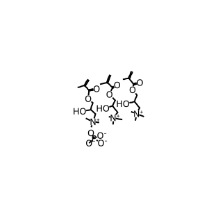 C=C(C)C(=O)OCC(O)C[N+](C)(C)C.C=C(C)C(=O)OCC(O)C[N+](C)(C)C.C=C(C)C(=O)OCC(O)C[N+](C)(C)C.O=P([O-])([O-])[O-]